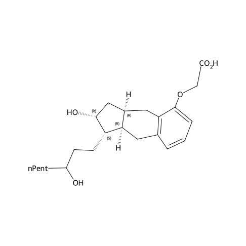 CCCCCC(O)CC[C@H]1[C@@H]2Cc3cccc(OCC(=O)O)c3C[C@@H]2C[C@H]1O